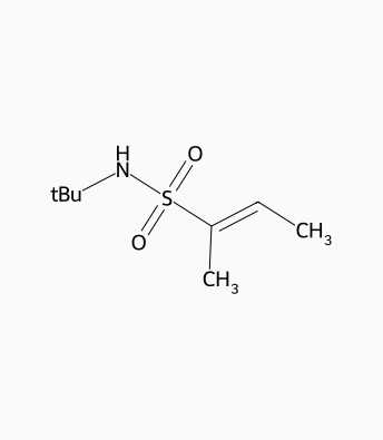 CC=C(C)S(=O)(=O)NC(C)(C)C